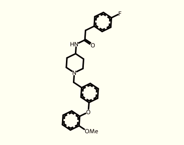 COc1ccccc1Oc1cccc(CN2CCC(NC(=O)Cc3ccc(F)cc3)CC2)c1